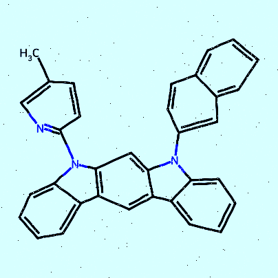 Cc1ccc(-n2c3ccccc3c3cc4c5ccccc5n(-c5ccc6ccccc6c5)c4cc32)nc1